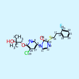 CC(C)(O)COc1ncc(-n2ccnc(SCCc3ccccc3F)c2=O)cc1Cl